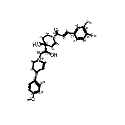 COc1ccc(C2CCN(CC(O)C3(O)CCN(C(=O)C=Cc4ccc(F)c(F)c4)CC3)CC2)cc1